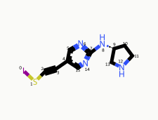 ISC#Cc1cnc(N[C@@H]2CCNC2)nc1